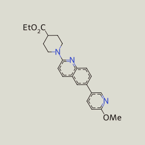 CCOC(=O)C1CCN(c2ccc3cc(-c4ccc(OC)nc4)ccc3n2)CC1